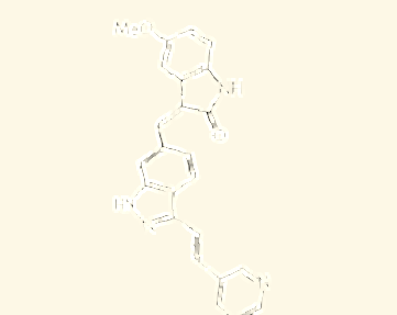 COc1ccc2c(c1)C(=Cc1ccc3c(C=Cc4cccnc4)n[nH]c3c1)C(=O)N2